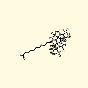 CCN(C(P(=O)(O)O)P(=O)(O)O)C(N(CCCCCCCCCCCC(=O)O)C(N(CC)C(P(=O)(O)O)P(=O)(O)O)(P(=O)(O)O)P(=O)(O)O)(P(=O)(O)O)P(=O)(O)O